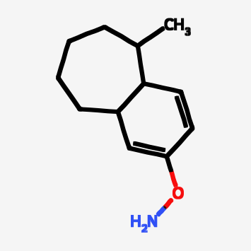 CC1CCCCC2C=C(ON)C=CC12